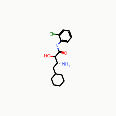 N[C@H](CC1CCCCC1)C(O)C(=O)Nc1ccccc1Cl